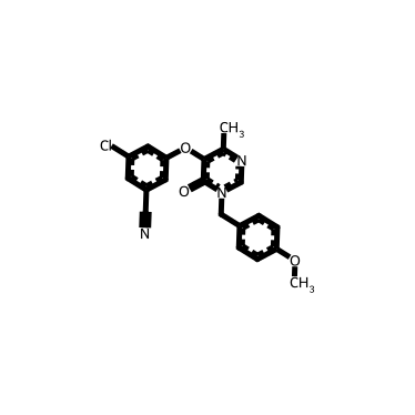 COc1ccc(Cn2cnc(C)c(Oc3cc(Cl)cc(C#N)c3)c2=O)cc1